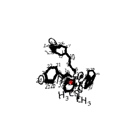 C[SiH](C)O[Si](O[Si](C)(CCCC1CCC2OC2C1)CCC1CCC2OC2C1)(C12CCC(CC1)C2)C12CCC(CC1)C2